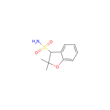 CC1(C)Oc2ccccc2C1S(N)(=O)=O